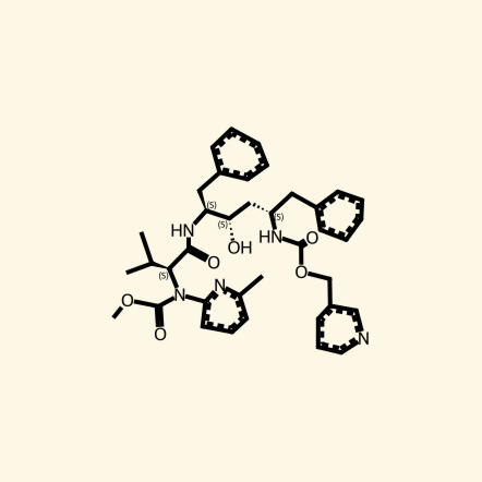 COC(=O)N(c1cccc(C)n1)[C@H](C(=O)N[C@@H](Cc1ccccc1)[C@@H](O)C[C@H](Cc1ccccc1)NC(=O)OCc1cccnc1)C(C)C